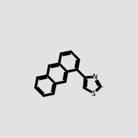 [c]1nc(-c2cccc3cc4ccccc4cc23)cs1